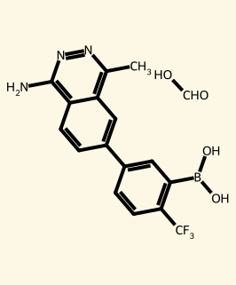 Cc1nnc(N)c2ccc(-c3ccc(C(F)(F)F)c(B(O)O)c3)cc12.O=CO